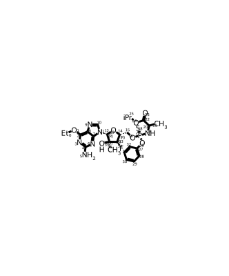 CCOc1nc(N)nc2c1ncn2[C@@H]1O[C@H](COP(=S)(NC(C)C(=O)OC(C)C)Oc2ccccc2)[C@@H](F)[C@@]1(C)O